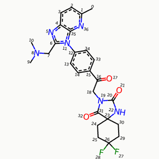 Cc1ccc2nc(CN(C)C)n(-c3ccc(C(=O)CN4C(=O)NC5(CCC(F)(F)CC5)C4=O)cc3)c2n1